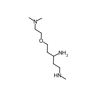 CNCCC(N)CCOCCN(C)C